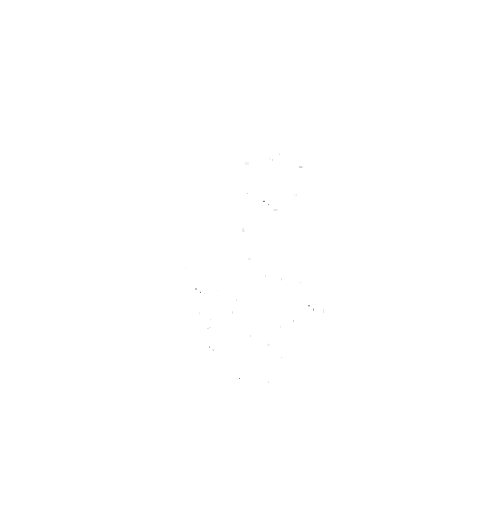 CCOC(=O)c1c(C)[nH]c(/C=C2\C(=O)Nc3cccc(-c4cncc(C(=O)O)c4)c32)c1CCCN1CCN(C)CC1